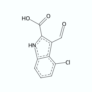 O=Cc1c(C(=O)O)[nH]c2cccc(Cl)c12